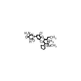 CC/C(C)=C(/C=C(\C(=O)NC)C1CCCC1)Oc1c(Cl)cc(-n2nc(N)c(=O)[nH]c2=O)cc1Cl